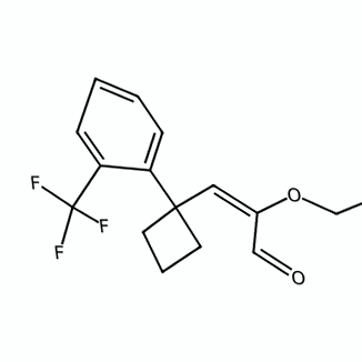 CCO/C(C=O)=C/C1(c2ccccc2C(F)(F)F)CCC1